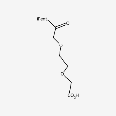 CCCC(C)C(=O)COCCOCC(=O)O